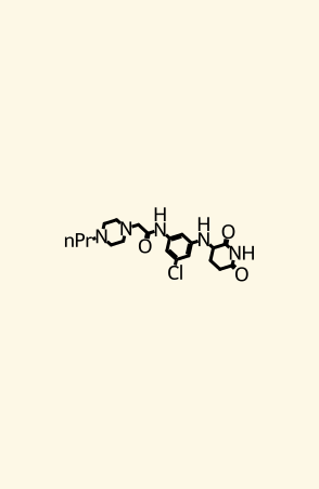 CCCN1CCN(CC(=O)Nc2cc(Cl)cc(NC3CCC(=O)NC3=O)c2)CC1